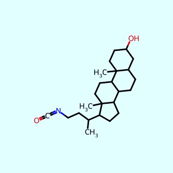 CC(CCN=C=O)C1CCC2C3CCC4CC(O)CCC4(C)C3CCC12C